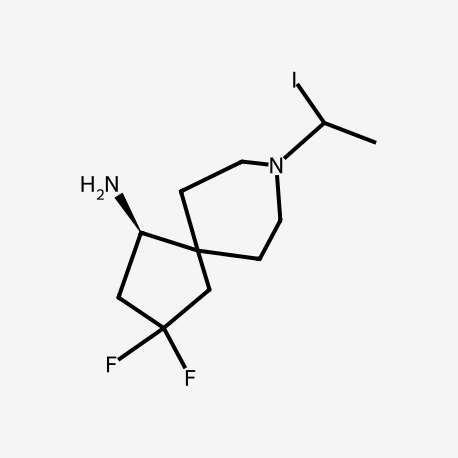 CC(I)N1CCC2(CC1)CC(F)(F)C[C@H]2N